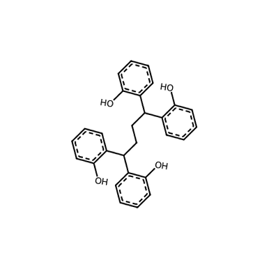 Oc1ccccc1C(CCC(c1ccccc1O)c1ccccc1O)c1ccccc1O